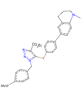 CCOC(=O)c1nnn(Cc2ccc(OC)cc2)c1Sc1ccc(-c2ccc3c(c2)CCCN3C)cc1